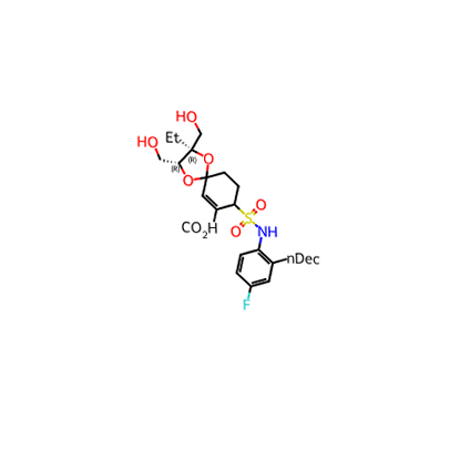 CCCCCCCCCCc1cc(F)ccc1NS(=O)(=O)C1CCC2(C=C1C(=O)O)O[C@H](CO)[C@@](CC)(CO)O2